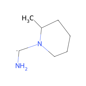 CC1CCCCN1[CH]N